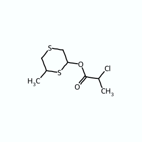 CC1CSCC(OC(=O)C(C)Cl)S1